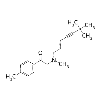 Cc1ccc(C(=O)CN(C)C/C=C/C#CC(C)(C)C)cc1